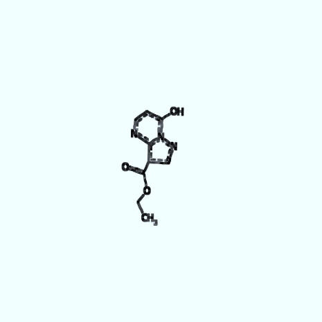 CCOC(=O)c1cnn2c(O)ccnc12